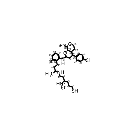 CCNC(CCCS)CCNC(C)CCc1c(F)cccc1NC(=O)CC(c1ccc(Cl)cc1)C1CCOC(C(C)C)C1